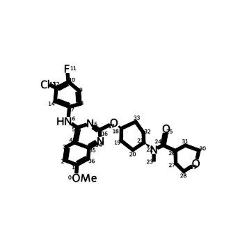 COc1ccc2c(Nc3ccc(F)c(Cl)c3)nc(O[C@H]3CC[C@@H](N(C)C(=O)C4CCOCC4)CC3)nc2c1